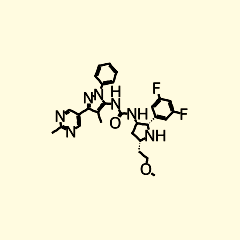 COCC[C@@H]1C[C@@H](NC(=O)Nc2c(C)c(-c3cnc(C)nc3)nn2-c2ccccc2)[C@H](c2cc(F)cc(F)c2)N1